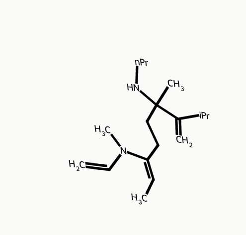 C=CN(C)/C(=C\C)CCC(C)(NCCC)C(=C)C(C)C